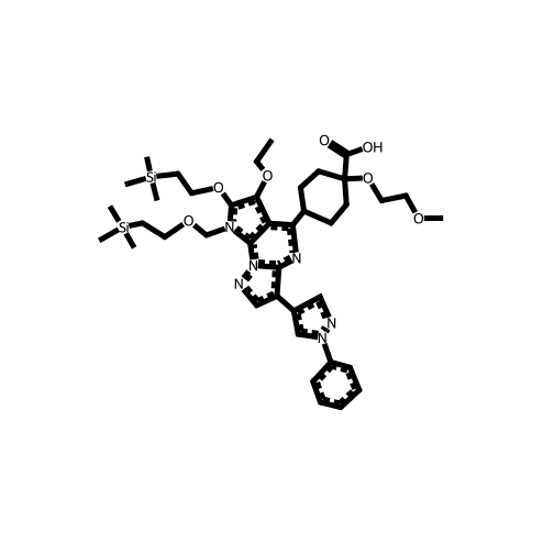 CCOc1c(OCC[Si](C)(C)C)n(COCC[Si](C)(C)C)c2c1c(C1CCC(OCCOC)(C(=O)O)CC1)nc1c(-c3cnn(-c4ccccc4)c3)cnn12